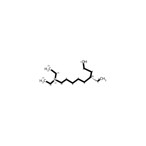 CC[C@@H](CCO)CCCCCN(CC)CC